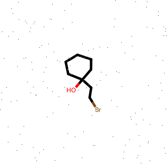 OC1(CCBr)CCCCC1